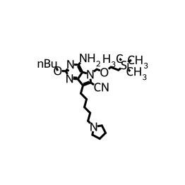 CCCCOc1nc(N)c2c(n1)c(CCCCCN1CCCC1)c(C#N)n2COCC[Si](C)(C)C